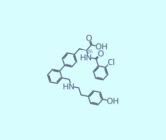 O=C(N[C@@H](Cc1ccc(-c2ccccc2CNCCc2ccc(O)cc2)cc1)C(=O)O)c1ccccc1Cl